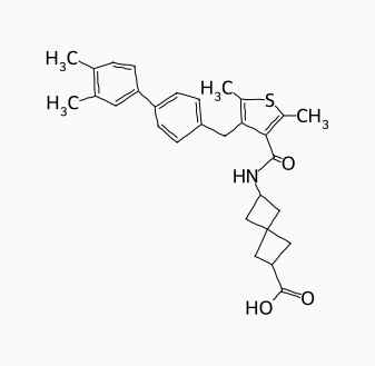 Cc1ccc(-c2ccc(Cc3c(C)sc(C)c3C(=O)NC3CC4(C3)CC(C(=O)O)C4)cc2)cc1C